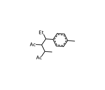 CCC(c1ccc(C)cc1)C(C(C)=O)C(C)C(C)=O